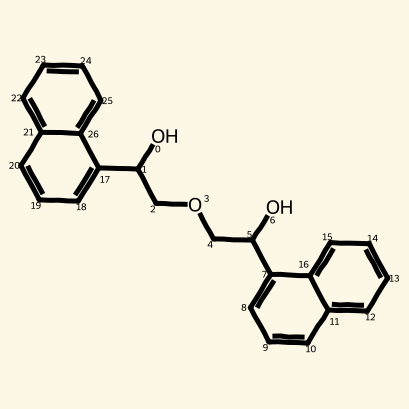 OC(COCC(O)c1cccc2ccccc12)c1cccc2ccccc12